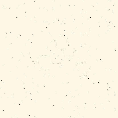 CCCC1CN(Cc2c(-c3ccc(Cl)cn3)nc3ccccn23)CCN1C